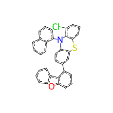 Clc1cccc2c1N(c1cccc3ccccc13)c1ccc(-c3cccc4oc5ccccc5c34)cc1S2